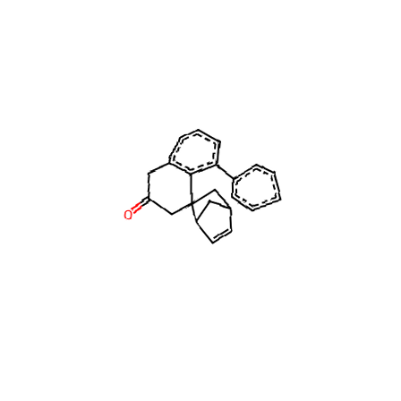 O=C1Cc2cccc(-c3ccccc3)c2C2(C1)CC1C=CC2C1